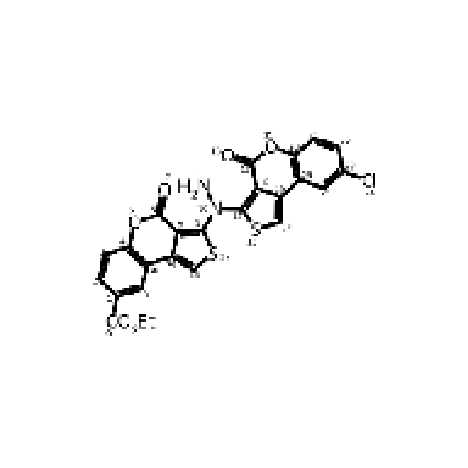 CCOC(=O)c1ccc2oc(=O)c3c(N(N)c4scc5c4c(=O)oc4ccc(Cl)cc45)scc3c2c1